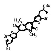 CCCCC(CC)Cc1cc(-c2cc3c(cc(-c4cc(CC(CC)CCCC)c(Br)s4)c(=O)n3C)n(C)c2=O)sc1Br